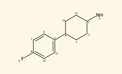 [NH]C1CCC(c2ccc(F)cc2)CC1